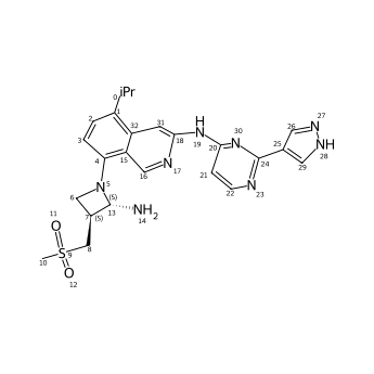 CC(C)c1ccc(N2C[C@H](CS(C)(=O)=O)[C@H]2N)c2cnc(Nc3ccnc(-c4cn[nH]c4)n3)cc12